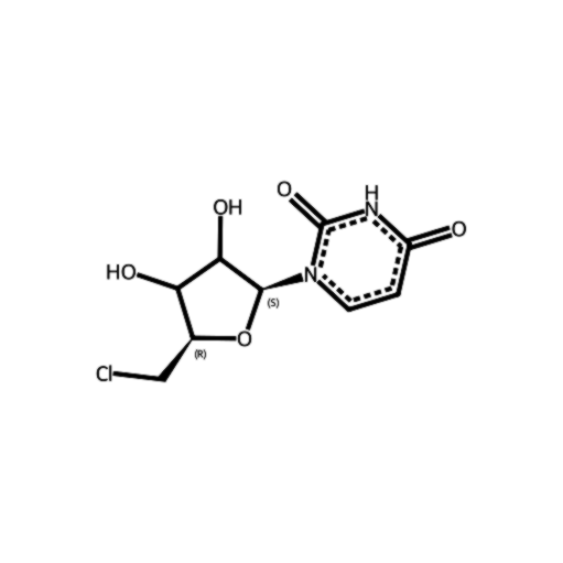 O=c1ccn([C@H]2O[C@@H](CCl)C(O)C2O)c(=O)[nH]1